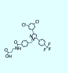 O=C(O)CCNC(=O)c1ccc(Cn2nc(-c3cc(Cl)cc(Cl)c3)cc2-c2ccc(C(F)(F)F)cc2)cc1